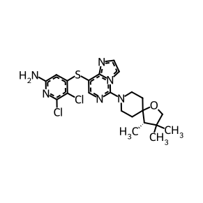 C[C@H]1C(C)(C)COC12CCN(c1ncc(Sc3cc(N)nc(Cl)c3Cl)c3nccn13)CC2